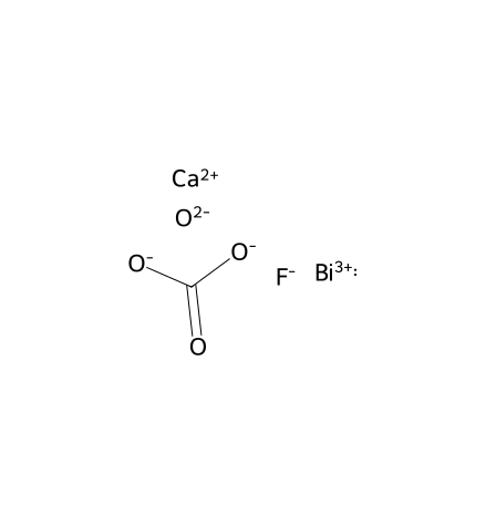 O=C([O-])[O-].[Bi+3].[Ca+2].[F-].[O-2]